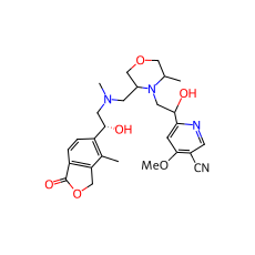 COc1cc(C(O)CN2C(C)COCC2CN(C)C[C@H](O)c2ccc3c(c2C)COC3=O)ncc1C#N